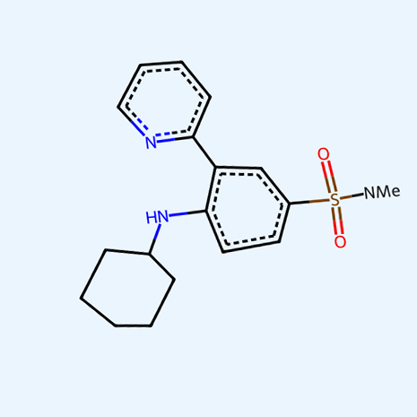 CNS(=O)(=O)c1ccc(NC2CCCCC2)c(-c2ccccn2)c1